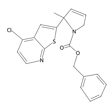 CC1(c2cc3c(Cl)ccnc3s2)C=CCN1C(=O)OCc1ccccc1